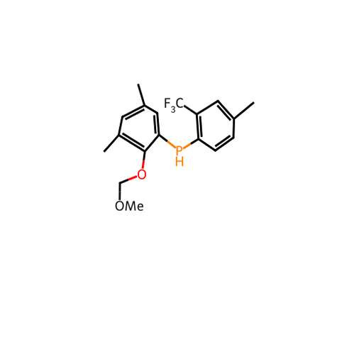 COCOc1c(C)cc(C)cc1Pc1ccc(C)cc1C(F)(F)F